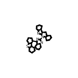 c1ccc2c(c1)cc1c3ccccc3nc-1n2-c1nc(-c2cccc3sc4ccccc4c23)c2ccccc2n1